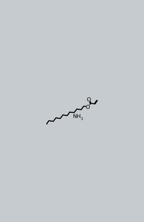 C=CC(=O)OCCCCCCCCCCCC.N